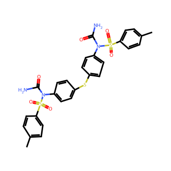 Cc1ccc(S(=O)(=O)N(C(N)=O)c2ccc(Sc3ccc(N(C(N)=O)S(=O)(=O)c4ccc(C)cc4)cc3)cc2)cc1